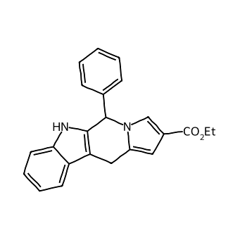 CCOC(=O)c1cc2n(c1)C(c1ccccc1)c1[nH]c3ccccc3c1C2